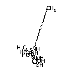 CCCCCCCCCCCCCCCCCCCCCCCCNC(=S)NC(COC1CC=CC(O)C(O)C1O)C(O)CC(O)CC